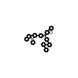 c1ccc(-c2ccccc2-c2ccccc2-c2ccc(N(c3ccc(-c4ccc5c6ccc7ccccc7c6n(-c6ccccc6)c5c4)cc3)c3ccc4c(c3)oc3ccccc34)cc2)cc1